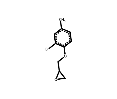 Cc1ccc(OCC2CO2)c(Br)c1